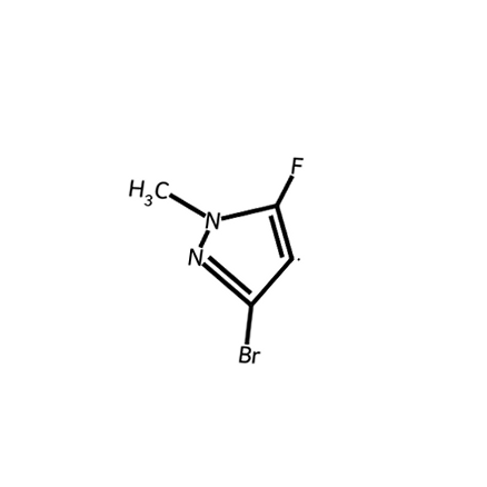 Cn1nc(Br)[c]c1F